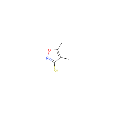 Cc1onc(S)c1C